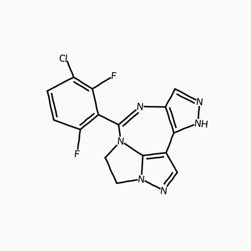 Fc1ccc(Cl)c(F)c1C1=Nc2cn[nH]c2-c2cnn3c2N1CC3